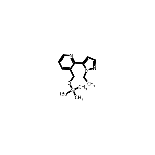 CC(C)(C)[Si](C)(C)OCc1cccnc1-c1ccnn1CC(F)(F)F